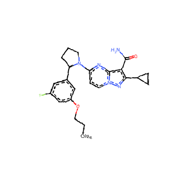 COCCOc1cc(F)cc(C2CCCN2c2ccn3nc(C4CC4)c(C(N)=O)c3n2)c1